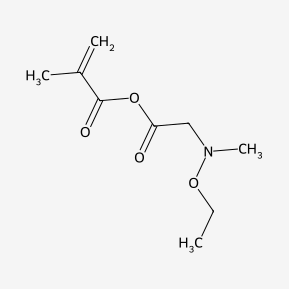 C=C(C)C(=O)OC(=O)CN(C)OCC